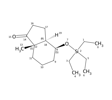 CC[Si](CC)(CC)O[C@H]1CCC[C@]2(C)C(=O)CC[C@@H]12